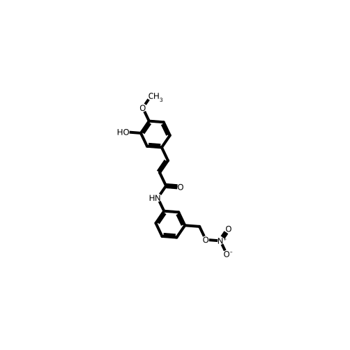 COc1ccc(C=CC(=O)Nc2cccc(CO[N+](=O)[O-])c2)cc1O